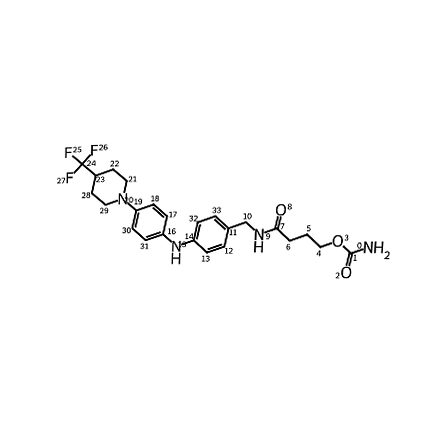 NC(=O)OCCCC(=O)NCc1ccc(Nc2ccc(N3CCC(C(F)(F)F)CC3)cc2)cc1